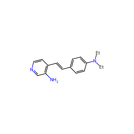 CCN(CC)c1ccc(/C=C/c2ccncc2N)cc1